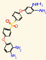 Nc1ccc(Oc2ccc(S(=O)(=O)c3ccc(Oc4ccc(N)c(N)c4)cc3)cc2)cc1N